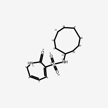 O=C1NCC=CC=C1S(=O)(=O)NC1CCCCCCCC1